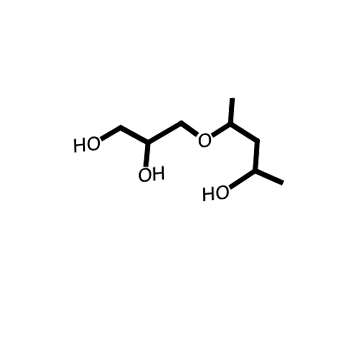 CC(O)CC(C)OCC(O)CO